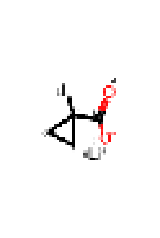 [Li+].[Li][C]1(C(=O)[O-])CC1